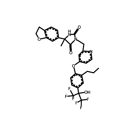 CCCc1cc(C(O)(C(F)(F)F)C(F)(F)F)ccc1Oc1ccnc(CN2C(=O)NC(C)(c3ccc4c(c3)OCC4)C2=O)c1